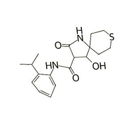 CC(C)c1ccccc1NC(=O)C1C(=O)NC2(CCSCC2)C1O